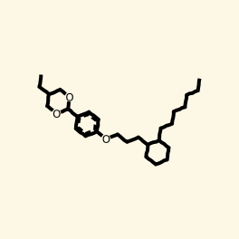 CCCCCCCC1CCCCC1CCCOc1ccc(C2OCC(CC)CO2)cc1